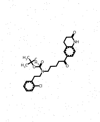 CC(C)(C)OC(=O)N(CCCCC(=O)c1ccc2c(c1)CCC(=O)N2)CCc1ccccc1Cl